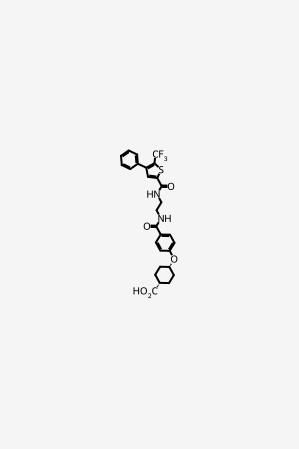 O=C(NCCNC(=O)c1cc(-c2ccccc2)c(C(F)(F)F)s1)c1ccc(O[C@H]2CC[C@@H](C(=O)O)CC2)cc1